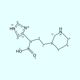 O=C(O)C(CCC1CCCNC1)c1c[nH]cn1